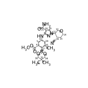 COC(=O)c1cc(Nc2nn([C@H]3COCC[C@@H]3C#N)cc2C(N)=O)cc(C)c1B1OCC(C)(C)CO1